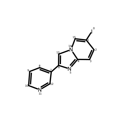 Ic1ccc2nc(-c3cccnc3)cn2c1